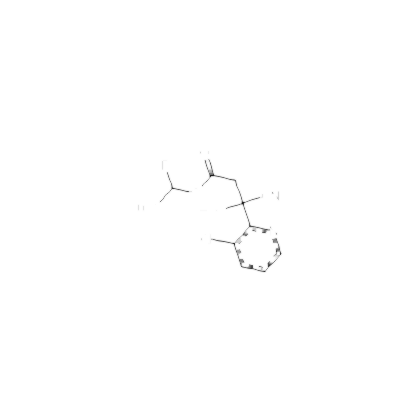 CCCC(F)OC(=O)CC(C)(C#N)c1ncccc1Cl